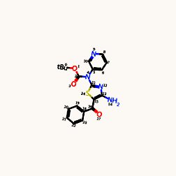 CC(C)(C)OC(=O)N(c1cccnc1)c1nc(N)c(C(=O)c2ccccc2)s1